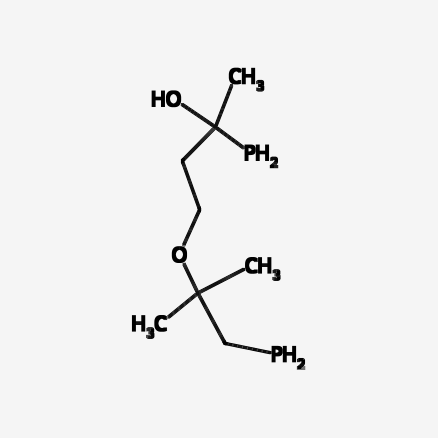 CC(O)(P)CCOC(C)(C)CP